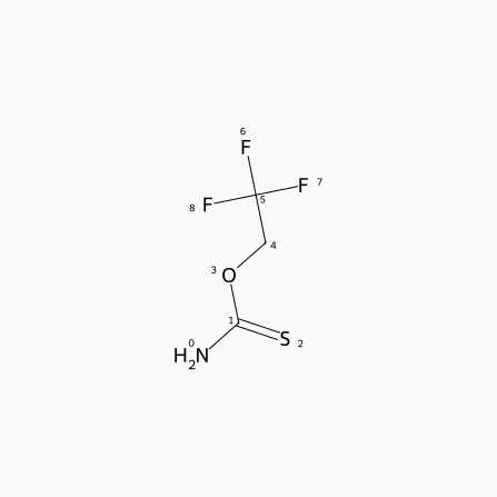 NC(=S)OCC(F)(F)F